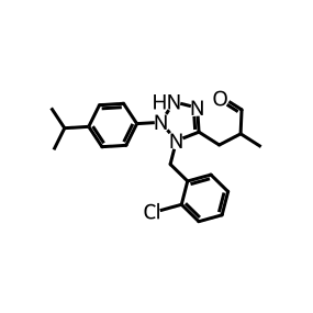 CC(C=O)CC1=NNN(c2ccc(C(C)C)cc2)N1Cc1ccccc1Cl